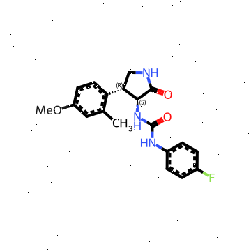 COc1ccc([C@@H]2CNC(=O)[C@H]2NC(=O)Nc2ccc(F)cc2)c(C)c1